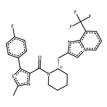 Cc1nc(C(=O)N2CCCC[C@H]2Cc2cn3cccc(C(F)(F)F)c3n2)c(-c2ccc(F)cc2)s1